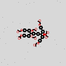 C1=CC(OCC2CO2)C(C(c2ccc(-c3ccc(C(c4cc(-c5ccc(OCC6CO6)cc5)ccc4OCC4CO4)c4cc(-c5ccc(OC6COC6)cc5)ccc4OCC4CO4)cc3)cc2)c2cc(-c3ccc(OCC4CO4)cc3)ccc2OCC2CO2)C=C1c1ccc(OCC2CO2)cc1